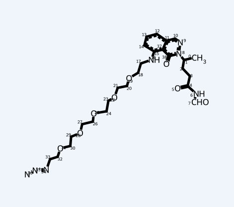 CC(CCC(=O)NC=O)n1ncc2cccc(NCCOCCOCCOCCOCCOCCN=[N+]=[N-])c2c1=O